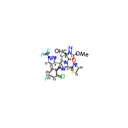 COC(=O)N[C@@]1(C=O)CC2=C(c3ccn(C(F)F)n3)[C@H](c3ccc(F)cc3Cl)N=C(c3nccs3)N2C1